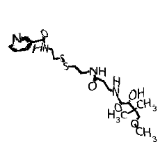 COCC(C)(C)[C@@H](O)C(=O)NCCC(=O)NCCSSCCNC(=O)c1cccnc1